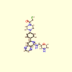 O=C(CF)N1CCN(c2ccc(-c3cc4nccnc4c(NC[C@@H]4CNCCO4)n3)cc2)CC1